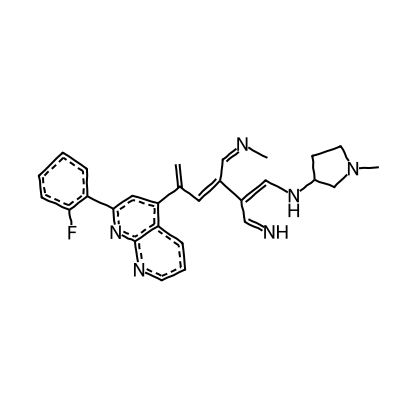 C=C(/C=C(\C=N/C)C(/C=N)=C/NC1CCN(C)C1)c1cc(-c2ccccc2F)nc2ncccc12